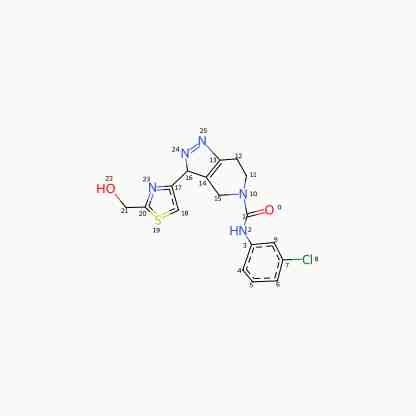 O=C(Nc1cccc(Cl)c1)N1CCC2=C(C1)C(c1csc(CO)n1)N=N2